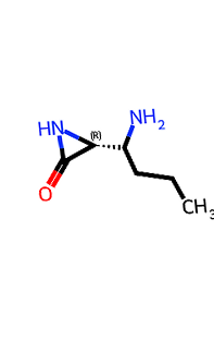 CCCC(N)[C@H]1NC1=O